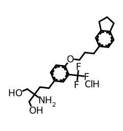 Cl.NC(CO)(CO)CCc1ccc(OCCCc2ccc3c(c2)CCC3)c(C(F)(F)F)c1